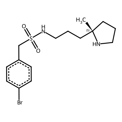 C[C@@]1(CCCNS(=O)(=O)Cc2ccc(Br)cc2)CCCN1